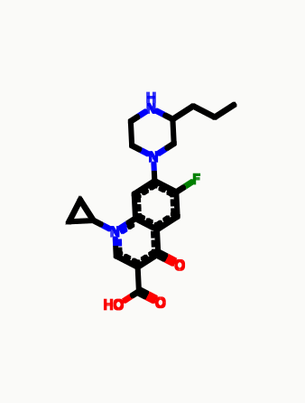 CCCC1CN(c2cc3c(cc2F)c(=O)c(C(=O)O)cn3C2CC2)CCN1